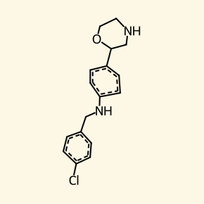 Clc1ccc(CNc2ccc(C3CNCCO3)cc2)cc1